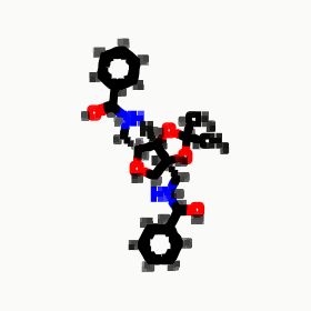 CC1(C)O[C@@H]2[C@@H](CNC(=O)c3ccccc3)OC[C@]2(CNC(=O)c2ccccc2)O1